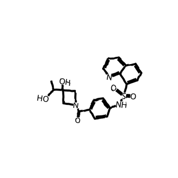 CC(O)C1(O)CN(C(=O)c2ccc(NS(=O)(=O)c3cccc4cccnc34)cc2)C1